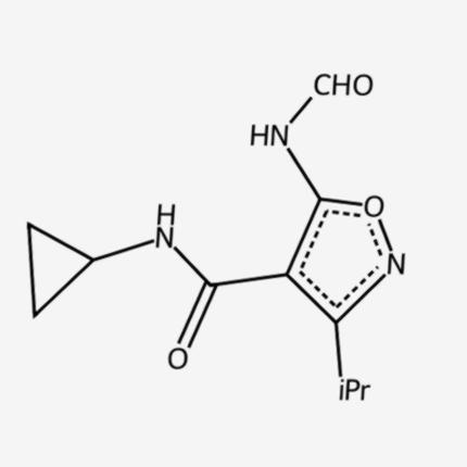 CC(C)c1noc(NC=O)c1C(=O)NC1CC1